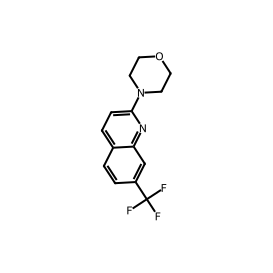 FC(F)(F)c1ccc2ccc(N3CCOCC3)nc2c1